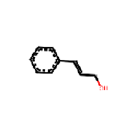 O[CH]C=Cc1ccccc1